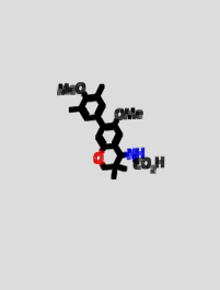 COc1cc2c(cc1-c1cc(C)c(OC)c(C)c1)OCC(C)(C)C2NC(=O)O